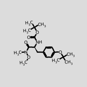 CON(C)C(=O)[C@H](Cc1ccc(OC(C)(C)C)cc1)NC(=O)OC(C)(C)C